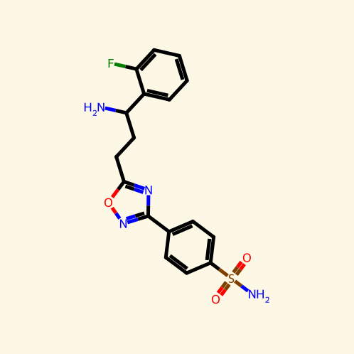 NC(CCc1nc(-c2ccc(S(N)(=O)=O)cc2)no1)c1ccccc1F